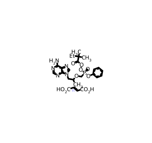 CCC(C)(C)C(=O)OOP(=O)(COC(C)Cn1cnc2c(N)ncnc21)Oc1ccccc1.O=C(O)/C=C/C(=O)O